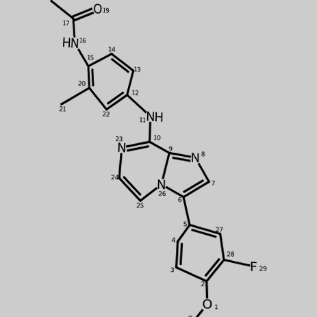 COc1ccc(-c2cnc3c(Nc4ccc(NC(C)=O)c(C)c4)nccn23)cc1F